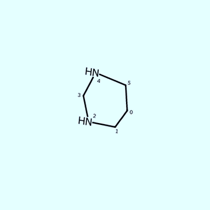 C1CNCNC1